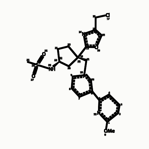 COc1cccc(-c2cccc(C[C@]3(c4nc(CCl)co4)CC[C@H](NS(C)(=O)=O)C3)c2)n1